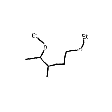 [CH2]C(CCOCC)C(C)OCC